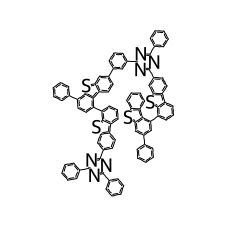 c1ccc(-c2cc(-c3cccc4c3sc3cc(-c5nc(-c6ccccc6)nc(-c6cccc(-c7ccc8c(c7)sc7c(-c9ccccc9)ccc(-c9cccc%10c9sc9cc(-c%11nc(-c%12ccccc%12)nc(-c%12ccccc%12)n%11)ccc9%10)c78)c6)n5)ccc34)c3c(c2)sc2ccccc23)cc1